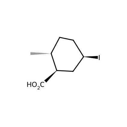 C[C@@H]1CC[C@@H](I)C[C@H]1C(=O)O